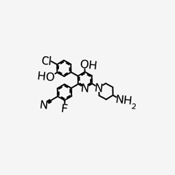 N#Cc1ccc(-c2nc(N3CCC(N)CC3)cc(O)c2-c2ccc(Cl)c(O)c2)cc1F